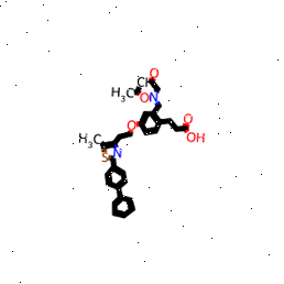 Cc1sc(-c2ccc(-c3ccccc3)cc2)nc1CCOc1ccc(CCC(=O)O)c(CN(CC=O)OC(C)C)c1